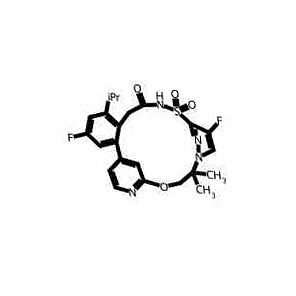 CC(C)c1cc(F)cc2c1CC(=O)NS(=O)(=O)c1nn(cc1F)C(C)(C)COc1cc-2ccn1